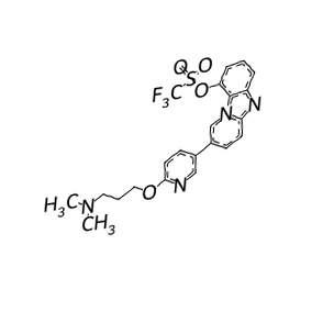 CN(C)CCCOc1ccc(-c2ccc3nc4cccc(OS(=O)(=O)C(F)(F)F)c4n3c2)cn1